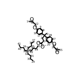 CC(CCC(=O)[O-])(c1ccc(OCC2CO2)cc1)c1ccc(OCC2CO2)cc1.CCCC[P+](CCCC)(CCCC)CCCC